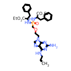 C=CCNc1nc(N)nc2c1ncn2CCOCP(=O)(NC(Cc1ccccc1)C(=O)OCC)NC(Cc1ccccc1)C(=O)OCC